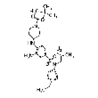 CCc1ccc(N(CC(C)C)S(=O)(=O)c2ccc(NC3CCN(C(=O)OC(C)(C)C)CC3)c(N)c2)cc1